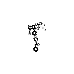 C[C@H](Oc1cc(-c2ccc(N3CCN(C(=O)Cc4ccccc4)CC3)nc2)c2c(C#N)cnn2c1)[C@@H](C)O